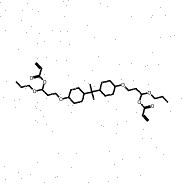 C=CC(=O)OC(CCOC1CCC(C(C)(C)C2CCC(OCCC(OCCC)OC(=O)C=C)CC2)CC1)OCCC